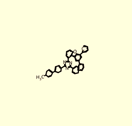 CC1C=CC(C2=CC=C(c3nc(C4=CCCC=C4)nc(-c4cccc5oc6c(-c7ccccc7)cc(-c7ccccc7)cc6c45)n3)CC2)=CC1